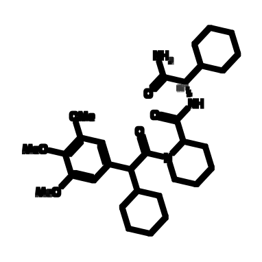 COc1cc(C(C(=O)N2CCCCC2C(=O)N[C@H](C(N)=O)C2CCCCC2)C2CCCCC2)cc(OC)c1OC